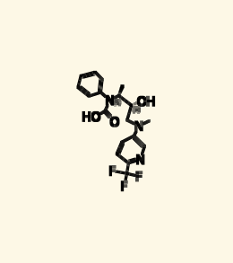 C[C@@H]([C@H](O)CN(C)c1ccc(C(F)(F)F)nc1)N(C(=O)O)c1ccccc1